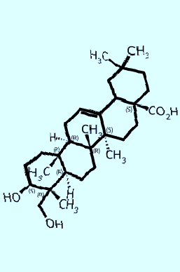 CC1(C)CC[C@]2(C(=O)O)CC[C@]3(C)C(=CC[C@@H]4[C@@]5(C)CC[C@H](O)[C@@](C)(CO)[C@@H]5CC[C@]43C)C2C1